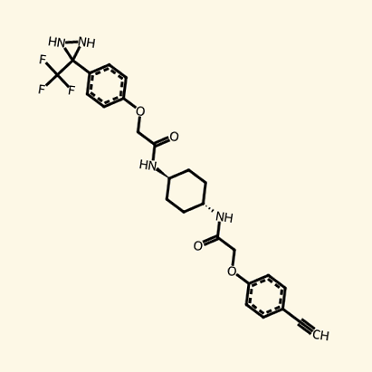 C#Cc1ccc(OCC(=O)N[C@H]2CC[C@H](NC(=O)COc3ccc(C4(C(F)(F)F)NN4)cc3)CC2)cc1